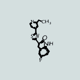 CCc1cc(-c2nc(-c3cc4cc(F)ccc4[nH]c3=O)cs2)ccn1